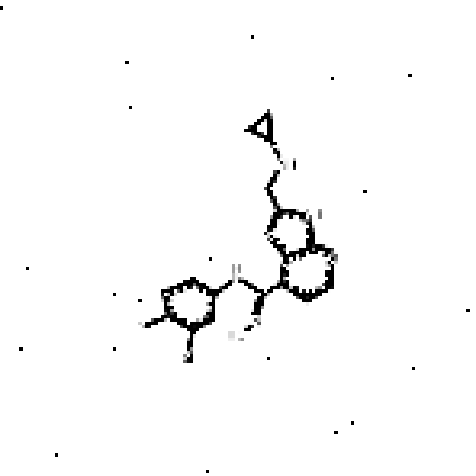 O/N=C(\Nc1ccc(F)c(Cl)c1)c1ccnc2[nH]c(CNC3CC3)nc12